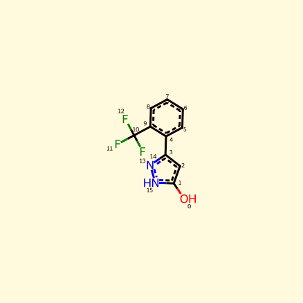 Oc1cc(-c2ccccc2C(F)(F)F)n[nH]1